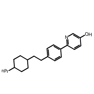 CCCC1CCC(CCc2ccc(-c3ccc(O)cn3)cc2)CC1